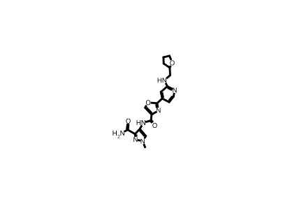 Cn1cc(NC(=O)c2coc(-c3ccnc(NCC4CCCO4)c3)n2)c(C(N)=O)n1